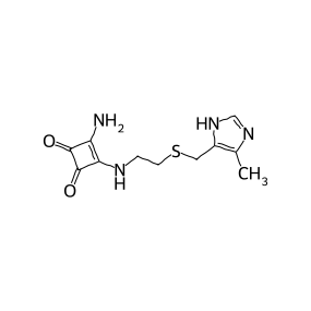 Cc1nc[nH]c1CSCCNc1c(N)c(=O)c1=O